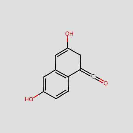 O=C=C1CC(O)=Cc2cc(O)ccc21